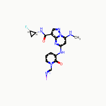 CNc1cc(Nc2cccn(/C=N/I)c2=O)nc2c(C(=O)N[C@@H]3C[C@@H]3F)cnn12